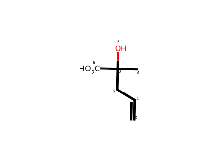 C=CCC(C)(O)C(=O)O